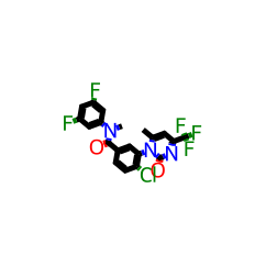 Cc1cc(C(F)(F)F)nc(=O)n1-c1cc(C(=O)N(C)c2cc(F)cc(F)c2)ccc1Cl